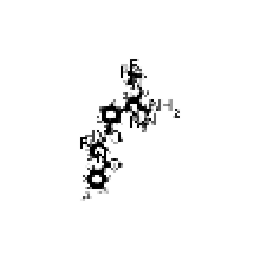 Nc1ncnn2c(-c3cccc(C(=O)N[C@@H]4CN(C(=O)c5ccc(F)cc5)C[C@@H]4F)c3)cc(CN3CC(F)(F)C3)c12